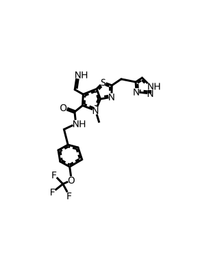 Cn1c(C(=O)NCc2ccc(OC(F)(F)F)cc2)c(C=N)c2sc(Cc3c[nH]nn3)nc21